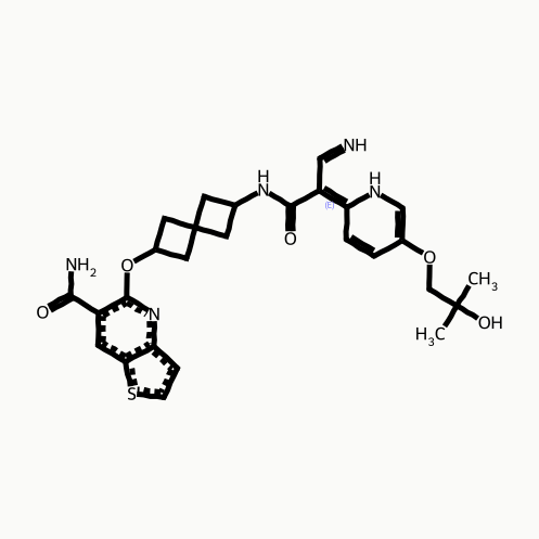 CC(C)(O)COC1=CN/C(=C(\C=N)C(=O)NC2CC3(C2)CC(Oc2nc4ccsc4cc2C(N)=O)C3)C=C1